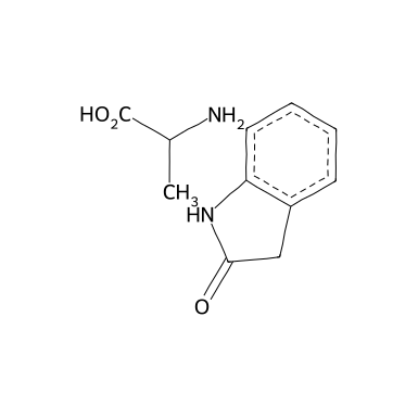 CC(N)C(=O)O.O=C1Cc2ccccc2N1